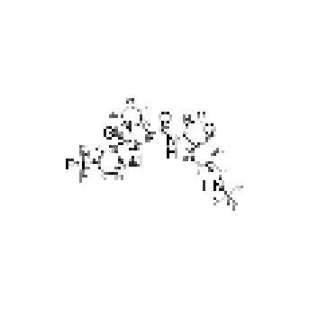 CC(C)(C)NCc1ccc2c(c1)OCC[C@H]2NC(=O)C[C@@H]1CCCN1S(=O)(=O)c1cc(C(F)(F)F)ccc1Cl